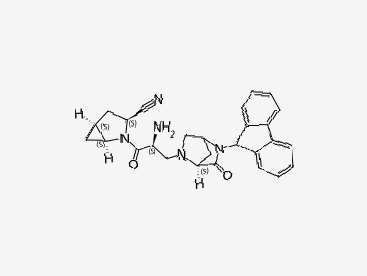 N#C[C@@H]1C[C@@H]2C[C@@H]2N1C(=O)[C@@H](N)CN1CC2C[C@H]1C(=O)N2C1c2ccccc2-c2ccccc21